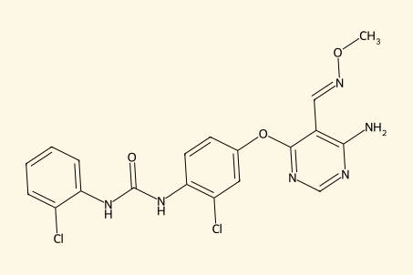 CON=Cc1c(N)ncnc1Oc1ccc(NC(=O)Nc2ccccc2Cl)c(Cl)c1